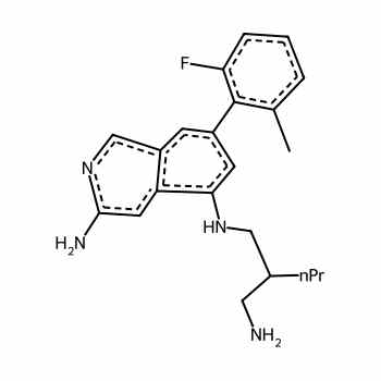 CCCC(CN)CNc1cc(-c2c(C)cccc2F)cc2cnc(N)cc12